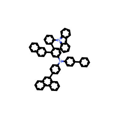 c1ccc(-c2ccc(N(c3ccc(-c4cc5ccccc5c5ccccc45)cc3)c3ccc(-c4ccccc4-n4c5ccccc5c5ccccc54)c(-c4ccc5ccccc5c4)c3)cc2)cc1